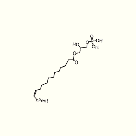 CCCCC/C=C\CCCCCCCCCCC(=O)OCC(O)COP(=O)(O)O